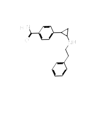 NC(=O)c1ccc(C2CC2NCCc2ccccc2)cc1